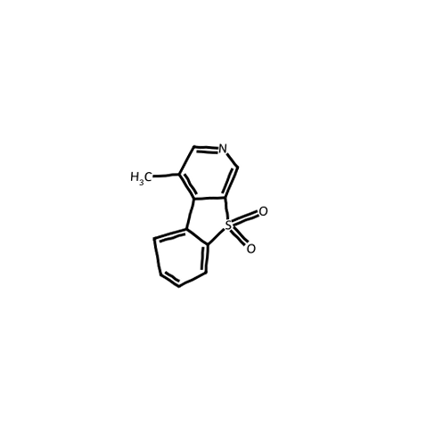 Cc1cncc2c1-c1ccccc1S2(=O)=O